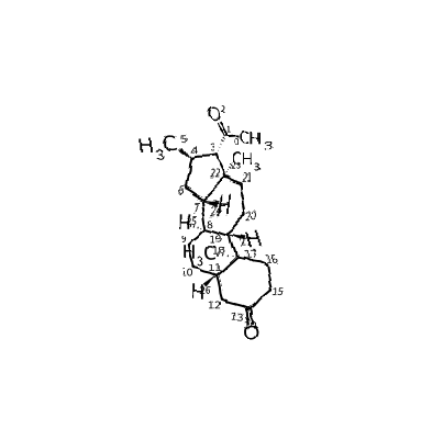 CC(=O)[C@H]1[C@H](C)C[C@H]2[C@@H]3CC[C@H]4CC(=O)CC[C@]4(C)[C@H]3CC[C@@]21C